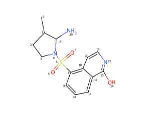 CC1CCN(S(=O)(=O)c2cccc3c(O)nccc23)C1N